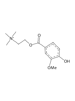 COc1cc(C(=O)OCC[N+](C)(C)C)ccc1O